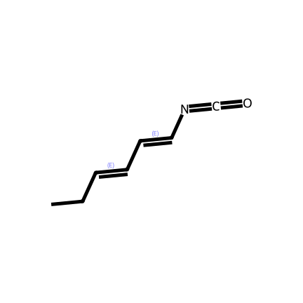 CC/C=C/C=C/N=C=O